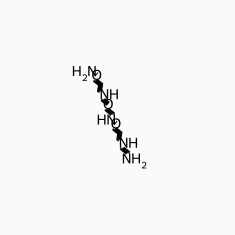 NCCNCCCONCCOCNCCCON